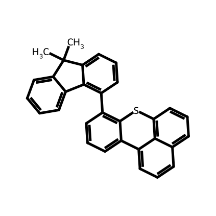 CC1(C)c2ccccc2-c2c(-c3cccc4c3Sc3cccc5cccc-4c35)cccc21